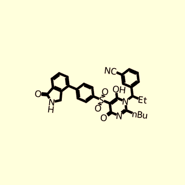 CCCCc1nc(=O)c(S(=O)(=O)c2ccc(-c3cccc4c3CNC4=O)cc2)c(O)n1C(CC)c1cccc(C#N)c1